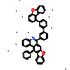 c1ccc(-c2c3c(cc4c(-c5cccc(-c6cccc(-c7cccc8oc9ccccc9c78)c6)c5)nc5ccccc5c24)oc2ccccc23)cc1